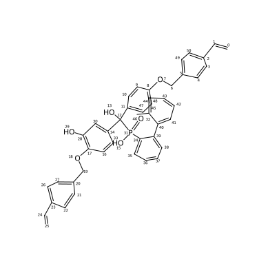 C=Cc1ccc(COc2ccc(C(O)(c3ccc(OCc4ccc(C=C)cc4)c(O)c3)P(=O)(O)c3ccccc3-c3ccccc3C)cc2)cc1